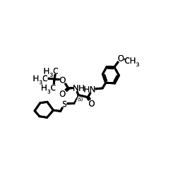 COc1ccc(CNC(=O)[C@@H](CSCC2CCCCC2)NC(=O)OC(C)(C)C)cc1